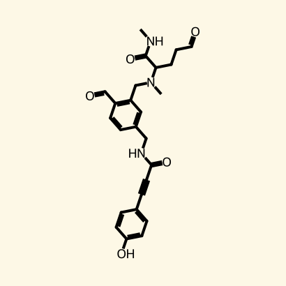 CNC(=O)C(CCC=O)N(C)Cc1cc(CNC(=O)C#Cc2ccc(O)cc2)ccc1C=O